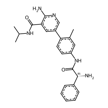 Cc1cc(NC(=O)[C@H](N)c2ccccc2)ccc1-c1cnc(N)c(C(=O)NC(C)C)c1